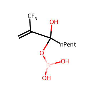 C=C(C(F)(F)F)C(O)(CCCCC)OB(O)O